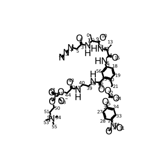 C[C@H](NC(=O)CN=[N+]=[N-])C(=O)N[C@@H](C)C(=O)Nc1ccc(COC(=O)Oc2ccc([N+](=O)[O-])cc2)c(C(=O)NCCNC(=O)COP(=O)([O-])OCC[N+](C)(C)C)c1